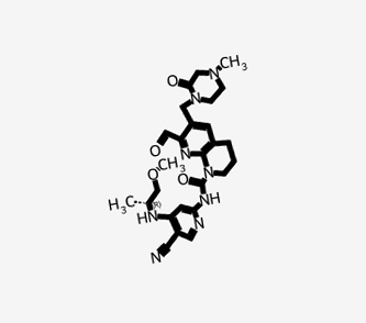 COC[C@@H](C)Nc1cc(NC(=O)N2CCCc3cc(CN4CCN(C)CC4=O)c(C=O)nc32)ncc1C#N